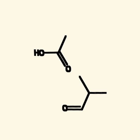 CC(=O)O.CC(C)C=O